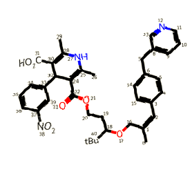 CC(=Cc1ccc(Cc2cccnc2)cc1)COC(CCOC(=O)C1=C(C)NC(C)=C(C(=O)O)C1c1cccc([N+](=O)[O-])c1)C(C)(C)C